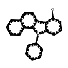 Clc1cccc2c1c1ccc3ccccc3c1n2-c1ccccc1